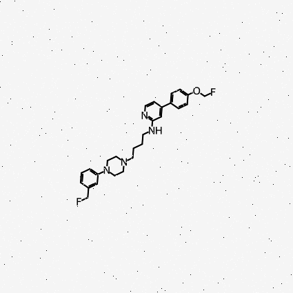 FCOc1ccc(-c2ccnc(NCCCCN3CCN(c4cccc(CF)c4)CC3)c2)cc1